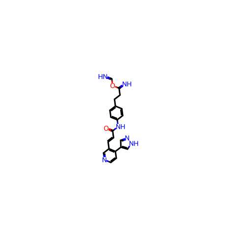 N=COC(=N)CCc1ccc(NC(=O)/C=C/c2cnccc2-c2cn[nH]c2)cc1